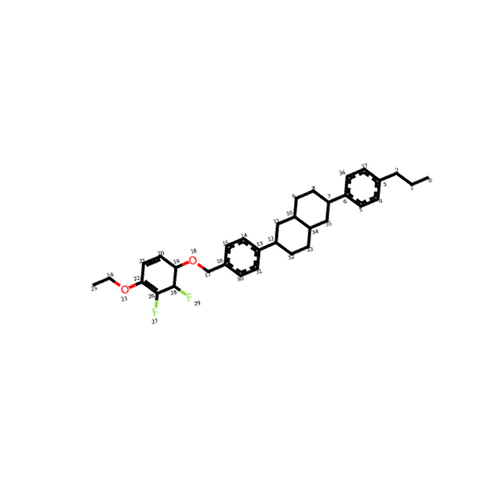 CCCc1ccc(C2CCC3CC(c4ccc(COC5C=CC(OCC)=C(F)C5F)cc4)CCC3C2)cc1